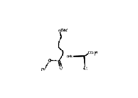 CCCCC(CC)C(=O)O.CCCCCCCCCCCCCC(=O)OC(C)C